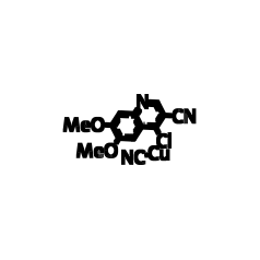 COc1cc2ncc(C#N)c(Cl)c2cc1OC.N#[C][Cu]